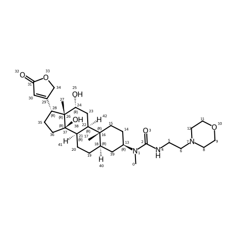 CN(C(=O)NCCN1CCOCC1)[C@@H]1CC[C@]2(C)[C@H](CC[C@@H]3[C@H]2C[C@@H](O)[C@@]2(C)[C@@H](C4=CC(=O)OC4)CC[C@@]32O)C1